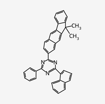 CC1(C)c2ccccc2-c2cc3ccc(-c4nc(-c5ccccc5)nc(-c5cccc6ccccc56)n4)cc3cc21